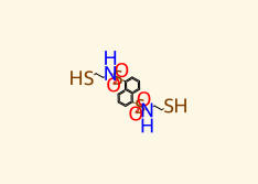 O=S(=O)(NCCS)c1cccc2c(S(=O)(=O)NCCS)cccc12